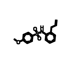 C=CCc1ccccc1NS(=O)(=O)c1ccc(OC)cc1